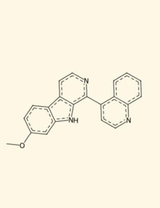 COc1ccc2c(c1)[nH]c1c(-c3ccnc4ccccc34)nccc12